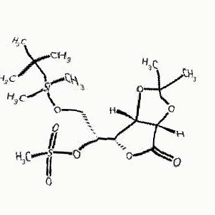 CC1(C)O[C@H]2[C@@H]([C@@H](CO[Si](C)(C)C(C)(C)C)OS(C)(=O)=O)OC(=O)[C@H]2O1